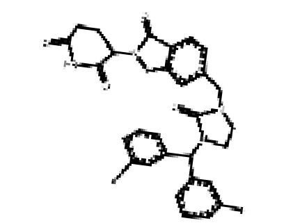 O=C1CCC(N2Cc3cc(CN4CCN(C(c5cccc(F)c5)c5cccc(F)c5)C4=O)ccc3C2=O)C(=O)N1